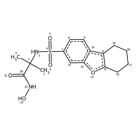 CC(C)(NS(=O)(=O)c1ccc2c3c(oc2c1)CCCC3)C(=O)NO